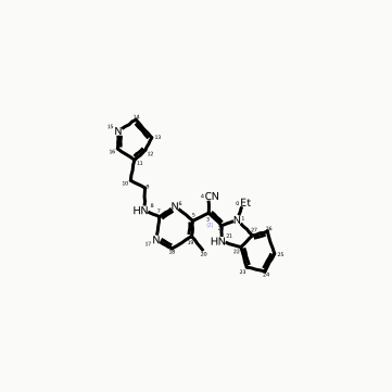 CCN1/C(=C(\C#N)c2nc(NCCc3cccnc3)ncc2C)Nc2ccccc21